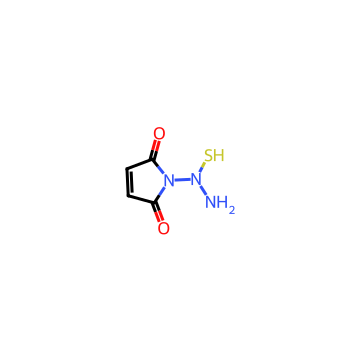 NN(S)N1C(=O)C=CC1=O